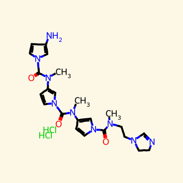 CN(CCN1C=NCC1)C(=O)n1ccc(N(C)C(=O)n2ccc(N(C)C(=O)n3ccc(N)c3)c2)c1.Cl.Cl